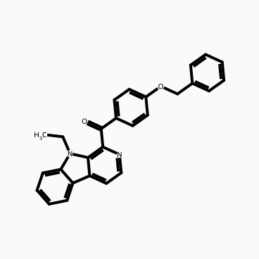 CCn1c2ccccc2c2ccnc(C(=O)c3ccc(OCc4ccccc4)cc3)c21